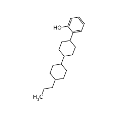 CCCC1CCC(C2CCC(c3ccccc3O)CC2)CC1